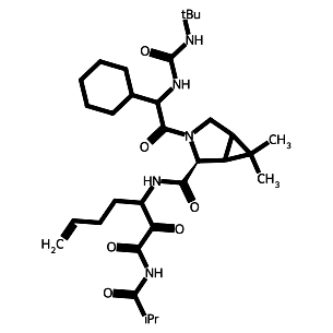 C=CCCC(NC(=O)[C@@H]1C2C(CN1C(=O)C(NC(=O)NC(C)(C)C)C1CCCCC1)C2(C)C)C(=O)C(=O)NC(=O)C(C)C